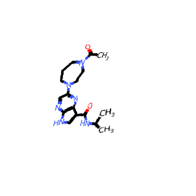 CC(=O)N1CCCN(c2cnc3[nH]cc(C(=O)NC(C)C)c3n2)CC1